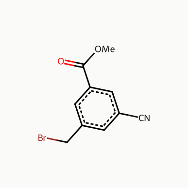 COC(=O)c1cc(C#N)cc(CBr)c1